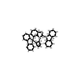 c1ccc2c(c1)-c1ccccc1C21c2ccccc2-n2c(-n3c4ccccc4c4ccccc43)nc3cccc1c32